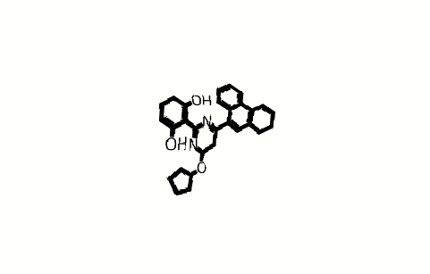 OC1=CCCC(O)=C1C1=NC(OC2CCCC2)CC(c2cc3c(c4ccccc24)C=CCC3)=N1